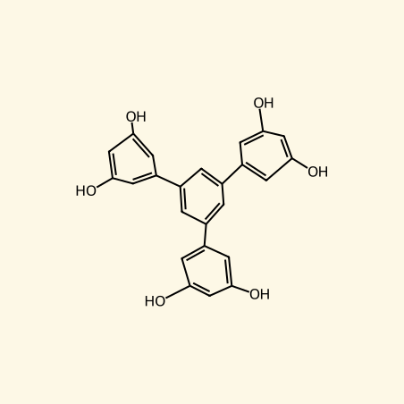 Oc1cc(O)cc(-c2cc(-c3cc(O)cc(O)c3)cc(-c3cc(O)cc(O)c3)c2)c1